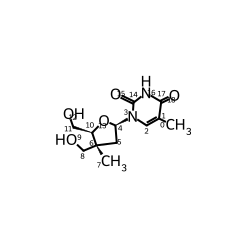 Cc1cn([C@H]2C[C@](C)(CO)[C@@H](CO)O2)c(=O)[nH]c1=O